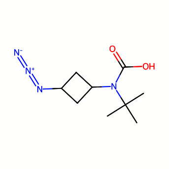 CC(C)(C)N(C(=O)O)C1CC(N=[N+]=[N-])C1